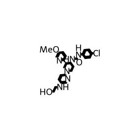 COc1ccc([C@@H]2CN(c3ccc(NCCO)cn3)CC[C@H]2NC(=O)Nc2ccc(Cl)cc2)nc1